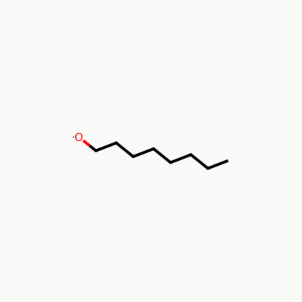 CCCCCCCC[O]